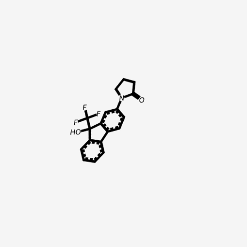 O=C1CCCN1c1ccc2c(c1)C(O)(C(F)(F)F)c1ccccc1-2